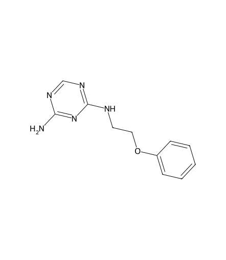 Nc1ncnc(NCCOc2ccccc2)n1